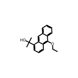 CCOc1c2ccccc2cc2c(C(C)(C)O)cccc12